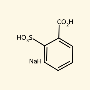 O=C(O)c1ccccc1S(=O)(=O)O.[NaH]